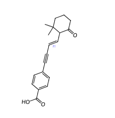 CC1(C)CCCC(=O)C1/C=C/C#Cc1ccc(C(=O)O)cc1